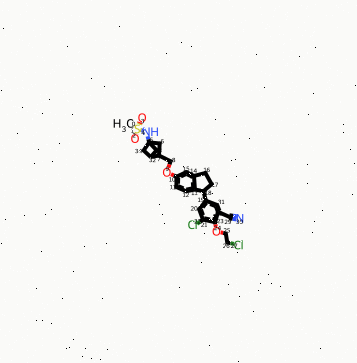 CS(=O)(=O)NC12CC(COc3ccc4c(c3)CCC4c3cc(Cl)c(OCCCl)c(C#N)c3)C(C1)C2